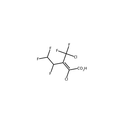 O=C(O)C(Cl)=C(C(F)C(F)F)C(F)(F)Cl